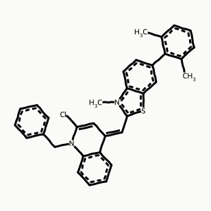 Cc1cccc(C)c1-c1ccc2c(c1)sc(C=C1C=C(Cl)N(Cc3ccccc3)c3ccccc31)[n+]2C